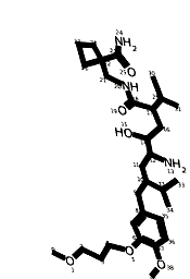 COCCCOc1cc(CC(CC(N)C(O)CC(C(=O)NCC2(C(N)=O)CCC2)C(C)C)C(C)C)ccc1OC